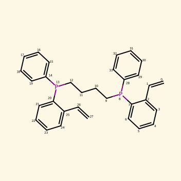 C=Cc1ccccc1P(CCCCP(c1ccccc1)c1ccccc1C=C)c1ccccc1